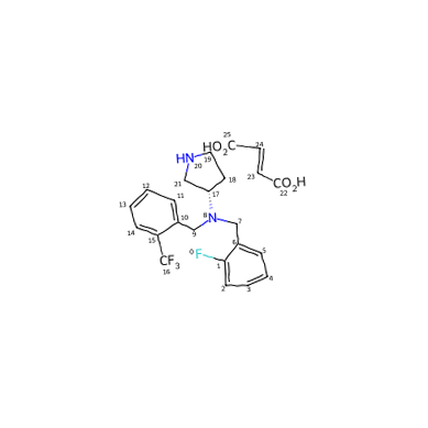 Fc1ccccc1CN(Cc1ccccc1C(F)(F)F)[C@H]1CCNC1.O=C(O)C=CC(=O)O